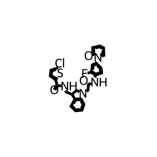 O=C(CN1CC(CNC(=O)c2ccc(Cl)s2)c2ccccc21)Nc1ccc(-n2ccccc2=O)cc1F